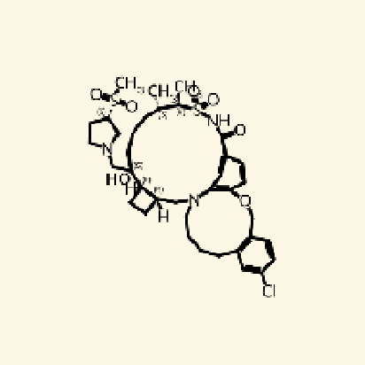 C[C@@H]1[C@@H](C)CCC[C@@](O)(CN2CC[C@H](S(C)(=O)=O)C2)[C@@H]2CC[C@H]2CN2CCCCc3cc(Cl)ccc3COc3ccc(cc32)C(=O)NS1(=O)=O